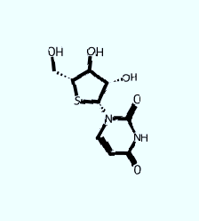 O=c1ccn([C@@H]2S[C@H](CO)C(O)[C@@H]2O)c(=O)[nH]1